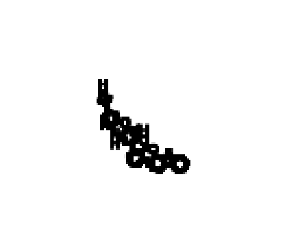 Cn1cc(-c2cccc(N3CCc4c(sc5c4CCCC5)C3=O)c2CO)cc(Nc2ccc(C3CNC3)cn2)c1=O